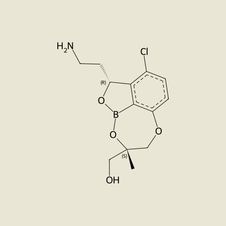 C[C@]1(CO)COc2ccc(Cl)c3c2B(O[C@@H]3CCN)O1